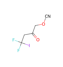 N#COCC(=O)CC(F)(F)I